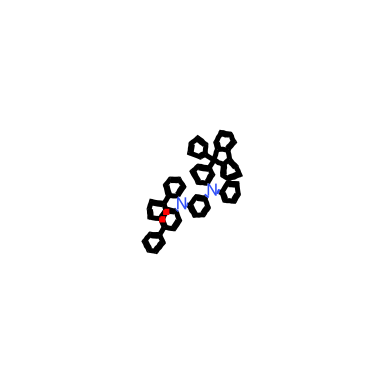 c1ccc(-c2ccc(N(c3cccc(N(c4ccccc4)c4cccc(C5(c6ccccc6)c6ccccc6-c6ccccc65)c4)c3)c3ccccc3-c3ccccc3)cc2)cc1